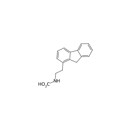 O=C(O)NCCc1cccc2c1Cc1ccccc1-2